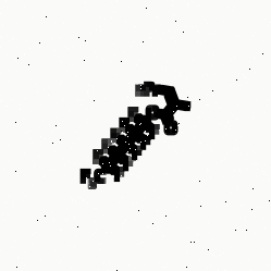 CCCC=C(C)C(=O)OC(F)(F)C(F)(F)C(F)(F)C(F)(F)C(F)(F)C(F)(F)F